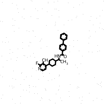 Cc1c(C2CCC(C(C)NC(=O)c3ccc(-c4ccccc4)cc3)CC2)ccnc1F